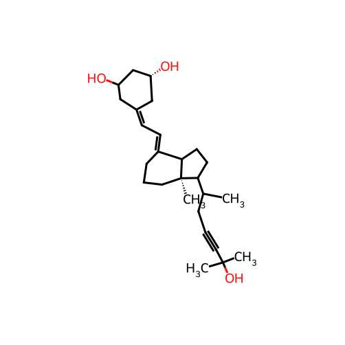 CC(CC#CC(C)(C)O)C1CCC2/C(=C/C=C3/CC(O)C[C@H](O)C3)CCC[C@@]21C